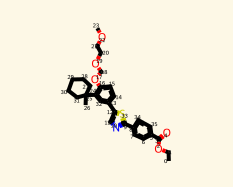 CCOC(=O)c1ccc(-c2ncc(-c3ccc(OCOCCOC)c(C4(C)CCCCC4)c3)s2)cc1